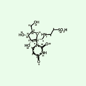 O=c1ccn([C@]2(CNCCS(=O)(=O)O)O[C@H](CO)[C@@H](O)[C@H]2O)c(=O)[nH]1